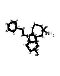 CC1(N)CCCc2c(c3cc(F)ccc3n2CCc2ccccc2)C1